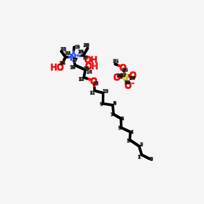 CCCCCCCCCCCCOCC(O)C[N+](C)(C(C)O)C(C)O.COS(=O)(=O)[O-]